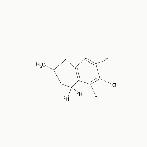 [2H]C1([2H])CC(C)Cc2cc(F)c(Cl)c(F)c21